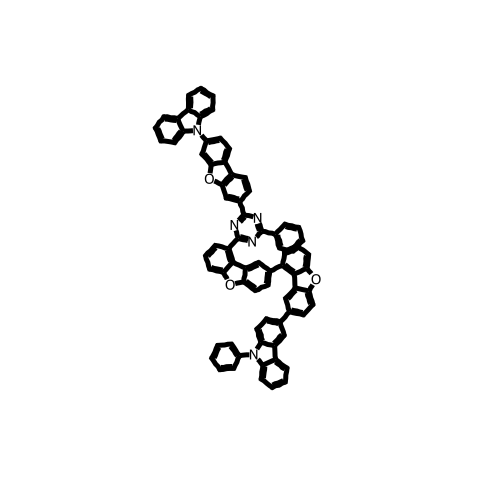 c1ccc(-c2nc(-c3ccc4c(c3)oc3cc(-n5c6ccccc6c6ccccc65)ccc34)nc(-c3cccc4oc5ccc(-c6cccc7oc8ccc(-c9ccc%10c(c9)c9ccccc9n%10-c9ccccc9)cc8c67)cc5c34)n2)cc1